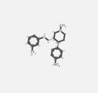 CN1CC[C@@H](c2ccc([N+](=O)[O-])cc2)[C@H](COc2cccc(C(F)(F)F)c2)C1